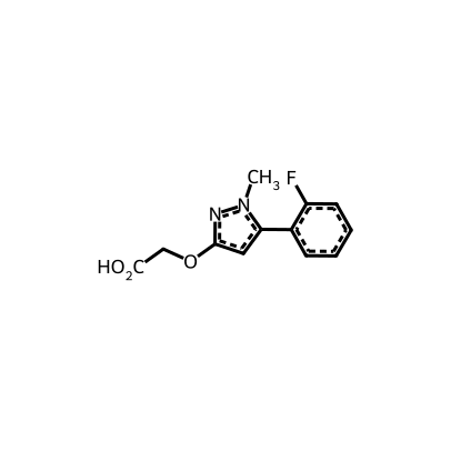 Cn1nc(OCC(=O)O)cc1-c1ccccc1F